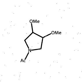 COC1CN(C(C)=O)CC1OC